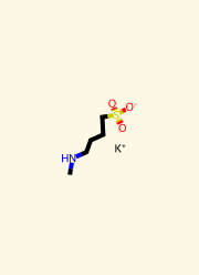 CNCCCCS(=O)(=O)[O-].[K+]